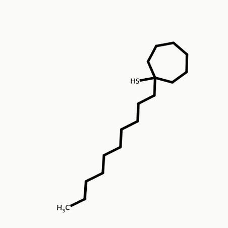 CCCCCCCCCCC1(S)CCCCCC1